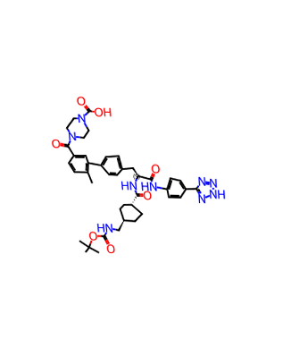 Cc1ccc(C(=O)N2CCN(C(=O)O)CC2)cc1-c1ccc(C[C@H](NC(=O)[C@H]2CC[C@H](CNC(=O)OC(C)(C)C)CC2)C(=O)Nc2ccc(-c3nn[nH]n3)cc2)cc1